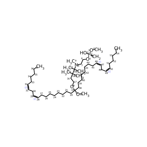 C=P(O)(OC)OCCN(C)C(C)(C)C(C)(C)CCOC(CCCCCCCC/C=C\C/C=C\CCCCC)(CCCCCCCC/C=C\C/C=C\CCCCC)OC